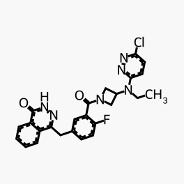 CCN(c1ccc(Cl)nn1)C1CN(C(=O)c2cc(Cc3n[nH]c(=O)c4ccccc34)ccc2F)C1